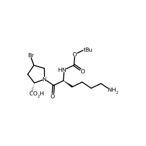 CC(C)(C)OC(=O)N[C@@H](CCCCN)C(=O)N1CC(Br)C[C@H]1C(=O)O